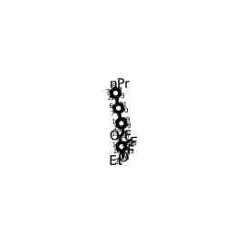 CCCc1ccc(-c2ccc(-c3ccc(CC(=O)c4ccc(OCC)c(F)c4C(F)F)cc3)cc2)cc1